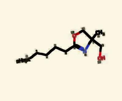 CCCCCCCCCCCC1=NC(C)(CO)CO1